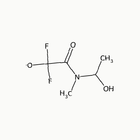 CC(O)N(C)C(=O)C([O])(F)F